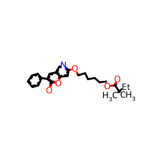 CCC(C)(C)C(=O)OCCCCCCOc1cc2oc(=O)c(-c3ccccc3)cc2cn1